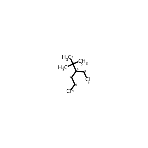 CC(C)(C)C(CCl)CCCl